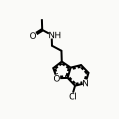 CC(=O)NCCc1coc2c(Cl)nccc12